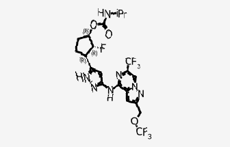 CC(C)NC(=O)O[C@@H]1CC[C@H](c2cc(Nc3nc(C(F)(F)F)cn4nc(COC(F)(F)F)cc34)n[nH]2)[C@H]1F